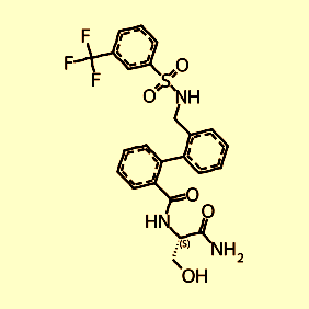 NC(=O)[C@H](CO)NC(=O)c1ccccc1-c1ccccc1CNS(=O)(=O)c1cccc(C(F)(F)F)c1